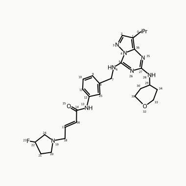 CC(C)c1cnn2c(NCc3cccc(NC(=O)C=CCN4CCC(F)C4)c3)nc(NC3CCOCC3)nc12